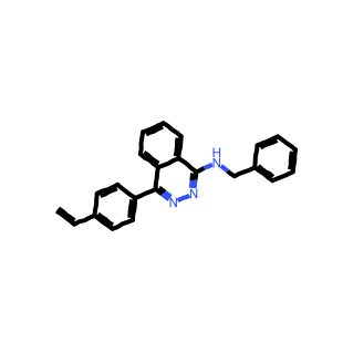 C=Cc1ccc(-c2nnc(NCc3ccccc3)c3ccccc23)cc1